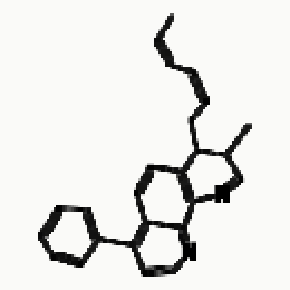 C/C=C\C=C/CC1c2ccc3c(-c4ccccc4)ccnc3c2N=CC1C